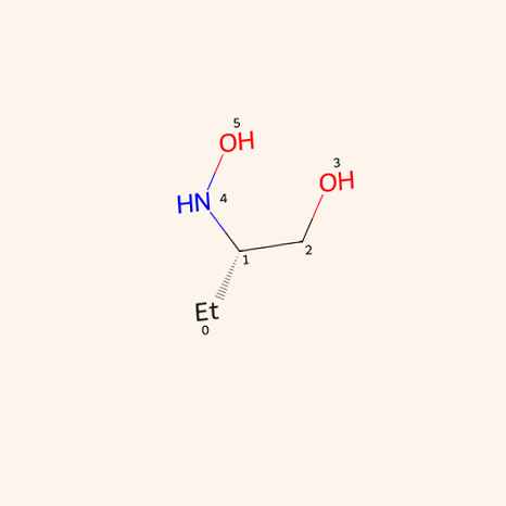 CC[C@@H](CO)NO